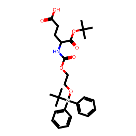 CC(C)(C)OC(=O)C(CCC(=O)O)NC(=O)OCCO[Si](c1ccccc1)(c1ccccc1)C(C)(C)C